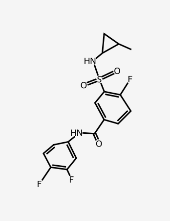 CC1CC1NS(=O)(=O)c1cc(C(=O)Nc2ccc(F)c(F)c2)ccc1F